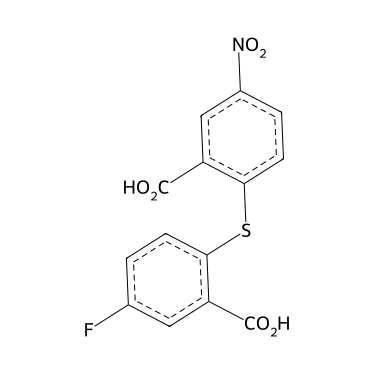 O=C(O)c1cc(F)ccc1Sc1ccc([N+](=O)[O-])cc1C(=O)O